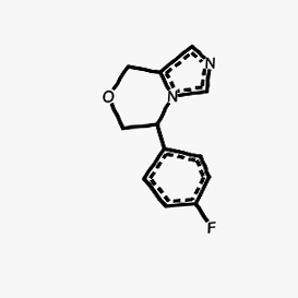 Fc1ccc(C2COCc3cncn32)cc1